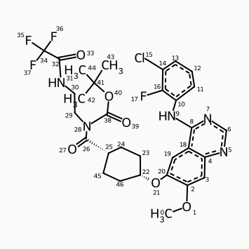 COc1cc2ncnc(Nc3cccc(Cl)c3F)c2cc1O[C@H]1CC[C@@H](C(=O)N(CCNC(=O)C(F)(F)F)C(=O)OC(C)(C)C)CC1